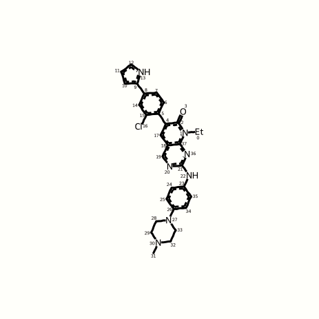 CCn1c(=O)c(-c2ccc(-c3ccc[nH]3)cc2Cl)cc2cnc(Nc3ccc(N4CCN(C)CC4)cc3)nc21